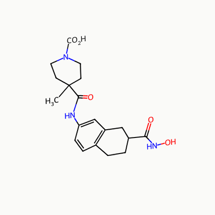 CC1(C(=O)Nc2ccc3c(c2)CC(C(=O)NO)CC3)CCN(C(=O)O)CC1